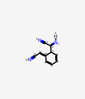 [H]/N=C(\C#N)C1C=CC=CC1=CC#N